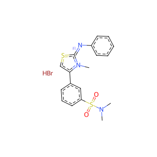 Br.CN(C)S(=O)(=O)c1cccc(-c2cs/c(=N/c3ccccc3)n2C)c1